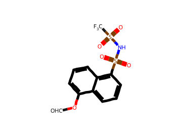 O=COc1cccc2c(S(=O)(=O)NS(=O)(=O)C(F)(F)F)cccc12